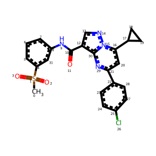 CS(=O)(=O)c1cccc(NC(=O)c2cnn3c(C4CC4)cc(-c4ccc(Cl)cc4)nc23)c1